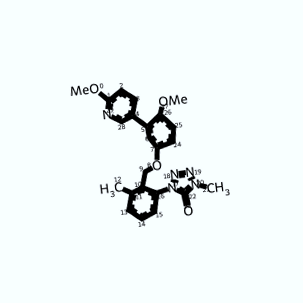 COc1ccc(-c2cc(OCc3c(C)cccc3-n3nnn(C)c3=O)ccc2OC)cn1